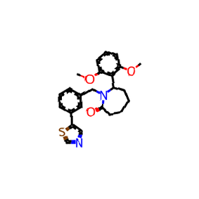 COc1cccc(OC)c1C1CCCCC(=O)N1Cc1cccc(-c2cncs2)c1